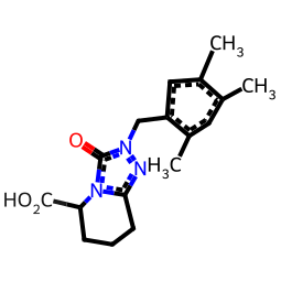 Cc1cc(C)c(Cn2nc3n(c2=O)C(C(=O)O)CCC3)cc1C